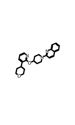 c1cnc(OC2CCN(c3ccc4ccccc4n3)CC2)c(C2CCOCC2)c1